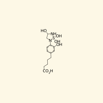 O=C(O)CCCCc1ccc(N2CC(O)NS2(O)O)c(O)c1